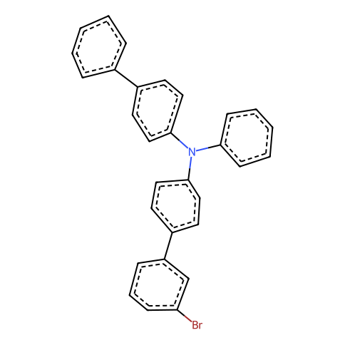 Brc1cccc(-c2ccc(N(c3ccccc3)c3ccc(-c4ccccc4)cc3)cc2)c1